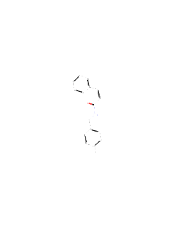 Cc1ccc(CNC(=O)/C=C\c2ccccc2)cc1